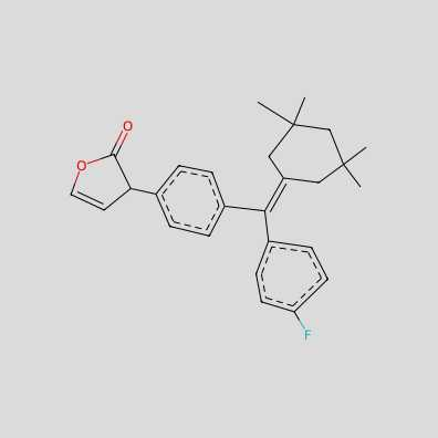 CC1(C)CC(=C(c2ccc(F)cc2)c2ccc(C3C=COC3=O)cc2)CC(C)(C)C1